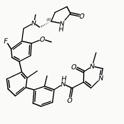 COc1cc(-c2cccc(-c3cccc(NC(=O)c4cncn(C)c4=O)c3C)c2C)cc(F)c1CN(C)C[C@@H]1CCC(=O)N1